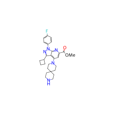 COC(=O)c1cc(N2CCC3(CCNCC3)CC2)c2c(C3CCC3)nn(-c3ccc(F)cc3)c2n1